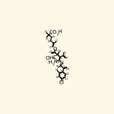 C=C(C)/C(=C(N)\N=C(/C)C(=C)c1ccc(Cl)cc1C)C(C)(C=O)C(=C)O/C=C(\C)CCC(C)(C)C(=O)O